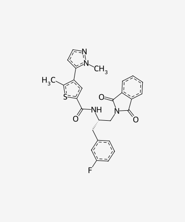 Cc1sc(C(=O)N[C@@H](Cc2cccc(F)c2)CN2C(=O)c3ccccc3C2=O)cc1-c1ccnn1C